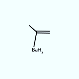 C=C(C)C.[BaH2]